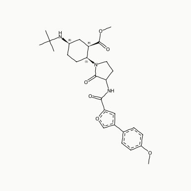 COC(=O)[C@@H]1C[C@H](NC(C)(C)C)CC[C@@H]1N1CCC(NC(=O)c2cc(-c3ccc(OC)cc3)co2)C1=O